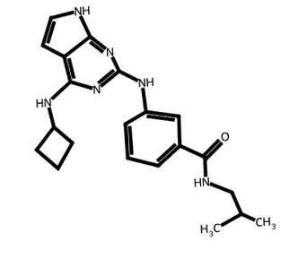 CC(C)CNC(=O)c1cccc(Nc2nc(NC3CCC3)c3cc[nH]c3n2)c1